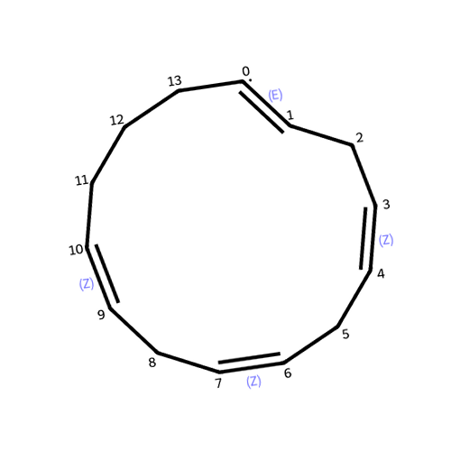 [C]1=C/C/C=C\C/C=C\C/C=C\CCC/1